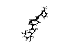 Cc1cc2c(cc1C13CCC(=Cc4cccc(C(=O)O)c4)C1C3)C(C)(C)CCC2(C)C